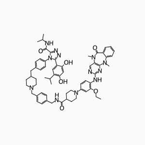 CCOc1cc(N2CCC(C(=O)NCc3ccc(CN4CCC(Cc5ccc(-n6c(C(=O)NC(C)C)nnc6-c6cc(C(C)C)c(O)cc6O)cc5)CC4)cc3)CC2)ccc1Nc1ncc2c(n1)N(C)c1ccccc1C(=O)N2C